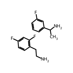 CC(N)c1cccc(F)c1.NCCc1ccc(F)cc1F